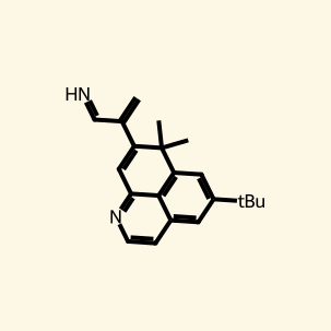 C=C(C=N)C1=Cc2nccc3cc(C(C)(C)C)cc(c23)C1(C)C